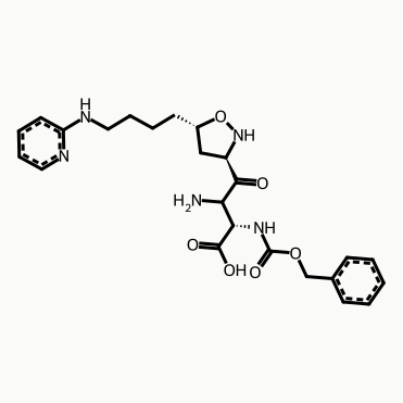 NC(C(=O)[C@H]1C[C@H](CCCCNc2ccccn2)ON1)[C@H](NC(=O)OCc1ccccc1)C(=O)O